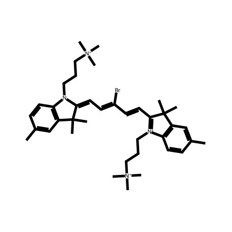 Cc1ccc2c(c1)C(C)(C)C(/C=C/C(Br)=C/C=C1/N(CCC[N+](C)(C)C)c3ccc(C)cc3C1(C)C)=[N+]2CCC[N+](C)(C)C